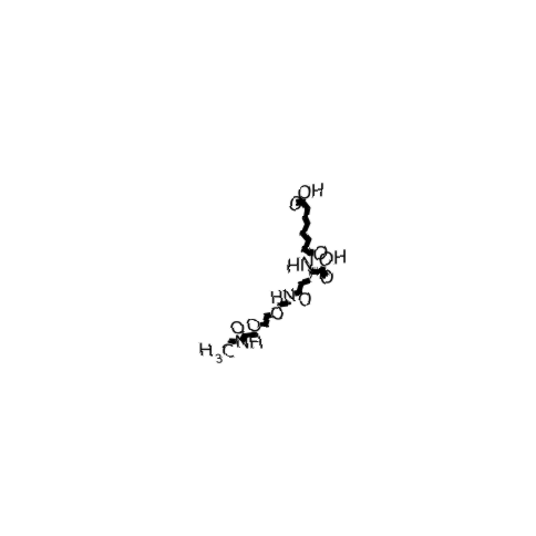 CCNC(=O)COCCOCCNC(=O)CC[C@H](NC(=O)CCCCCCC(=O)O)C(=O)O